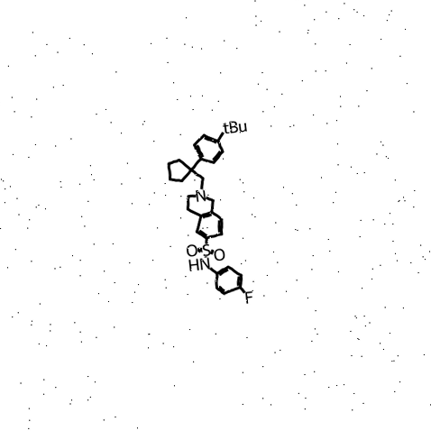 CC(C)(C)c1ccc(C2(CN3CCc4cc(S(=O)(=O)Nc5ccc(F)cc5)ccc4C3)CCCC2)cc1